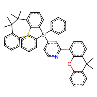 CC1(C)c2ccccc2Oc2c(-c3cc([Si](c4ccccc4)(c4ccccc4)c4cccc5c4Sc4ccccc4C(C)(C)C5(C)C)ccn3)cccc21